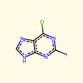 Clc1nc(I)nc2[nH]cnc12